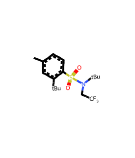 Cc1ccc(S(=O)(=O)N(CC(F)(F)F)C(C)(C)C)c(C(C)(C)C)c1